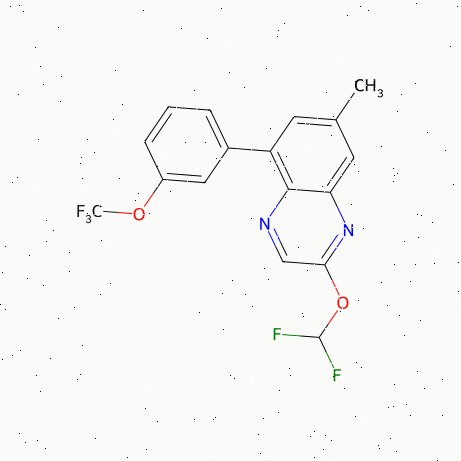 Cc1cc(-c2cccc(OC(F)(F)F)c2)c2ncc(OC(F)F)nc2c1